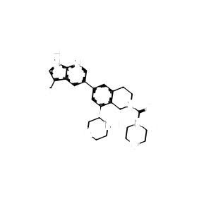 C[C@@H]1COCCN1C(=O)N1CCc2cc(-c3cnc4[nH]cc(Cl)c4c3)cc([C@@H]3COCCN3)c2C1